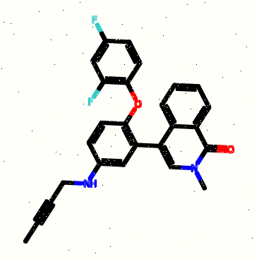 CC#CCNc1ccc(Oc2ccc(F)cc2F)c(-c2cn(C)c(=O)c3ccccc23)c1